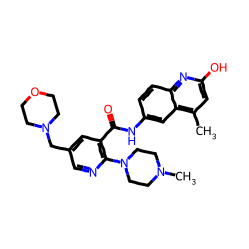 Cc1cc(O)nc2ccc(NC(=O)c3cc(CN4CCOCC4)cnc3N3CCN(C)CC3)cc12